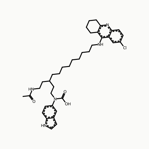 CC(=O)NCCC(CCCCCCCCCNc1c2c(nc3ccc(Cl)cc13)CCCC2)CCN(C(=O)O)c1ccc2[nH]ccc2c1